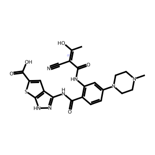 C/C(O)=C(/C#N)C(=O)Nc1cc(N2CCN(C)CC2)ccc1C(=O)Nc1n[nH]c2sc(C(=O)O)cc12